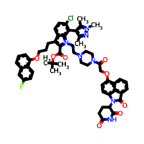 Cc1nn(C)c(C)c1-c1c(Cl)ccc2c(CCCOc3cccc4cc(F)ccc34)c(C(=O)OC(C)(C)C)n(CCN3CCN(C(=O)COc4ccc5c6c(cccc46)C(=O)N5C4CCC(=O)NC4=O)CC3)c12